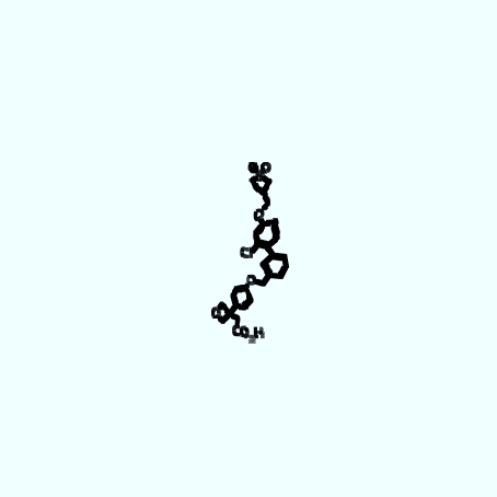 O=C(O)CC1(c2ccc(OCc3cccc(-c4ccc(OCC5CCS(=O)(=O)C5)cc4Cl)c3)cc2)COC1